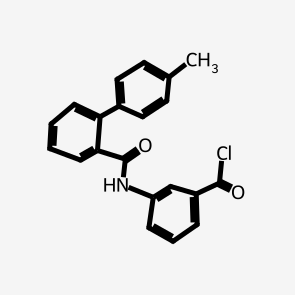 Cc1ccc(-c2ccccc2C(=O)Nc2cccc(C(=O)Cl)c2)cc1